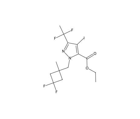 CCOC(=O)c1c(I)c(C(C)(F)F)nn1CC1(C)CC(F)(F)C1